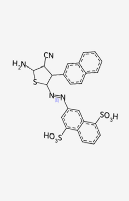 N#CC1C(N)SC(/N=N/c2cc(S(=O)(=O)O)c3cccc(S(=O)(=O)O)c3c2)C1c1ccc2ccccc2c1